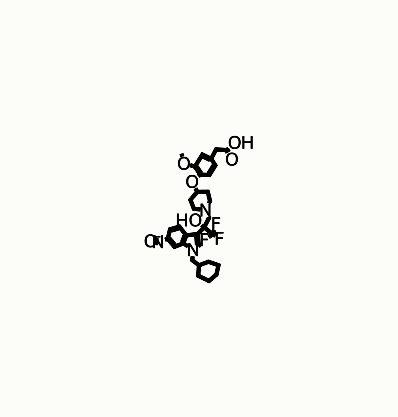 [C-]#[N+]c1ccc2c(C(O)(CN3CCC(Oc4ccc(CC(=O)O)cc4OC)CC3)C(F)(F)F)cn(CC3CCCCC3)c2c1